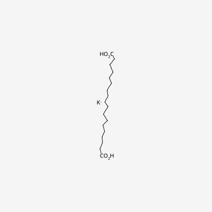 O=C(O)CCCCCCCCCCCCCCCCC(=O)O.[K]